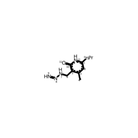 CCCc1cc(C)c(CNN=N)c(=O)[nH]1